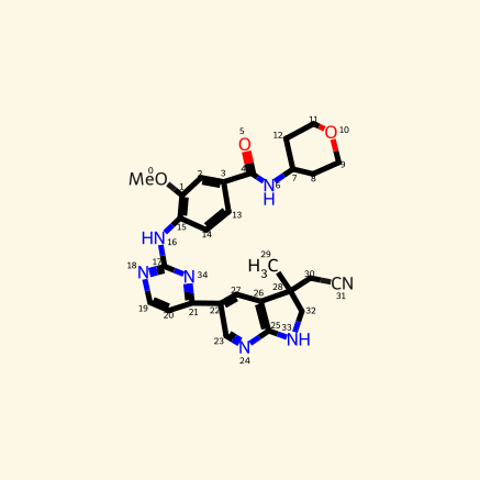 COc1cc(C(=O)NC2CCOCC2)ccc1Nc1nccc(-c2cnc3c(c2)C(C)(CC#N)CN3)n1